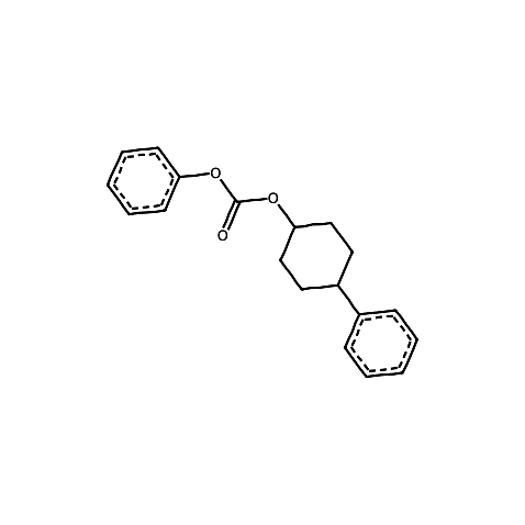 O=C(Oc1ccccc1)OC1CCC(c2ccccc2)CC1